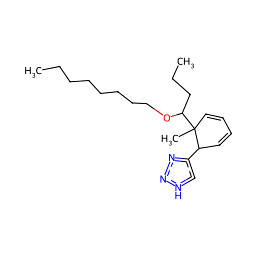 CCCCCCCCOC(CCC)C1(C)C=CC=CC1c1c[nH]nn1